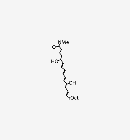 CCCCCCCCC=CCC(O)C=CC=CC=CC(O)CCCC(=O)NC